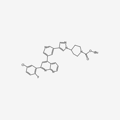 CC(C)(C)OC(=O)N1CCC(n2cc(-c3cncc(-c4cc(-c5cc(Cl)ccc5F)nc5ncccc45)c3)cn2)CC1